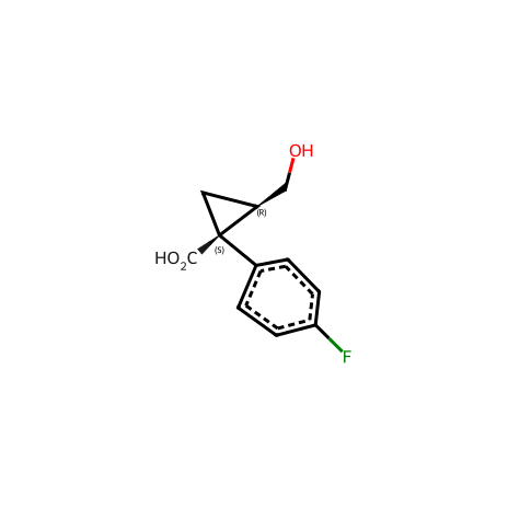 O=C(O)[C@@]1(c2ccc(F)cc2)C[C@H]1CO